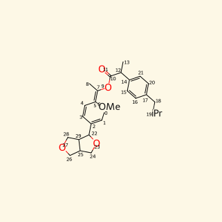 C\C=C(/C=C\C(OC)=C(/C)OC(=O)C(C)c1ccc(CC(C)C)cc1)C1OCC2COCC21